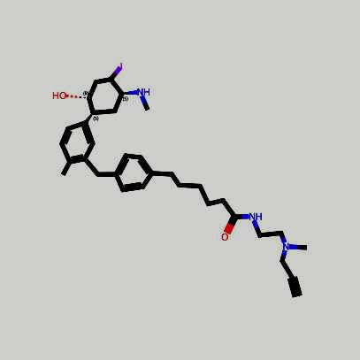 C#CCN(C)CCNC(=O)CCCCCc1ccc(Cc2cc([C@@H]3C[C@H](NC)C(I)C[C@H]3O)ccc2C)cc1